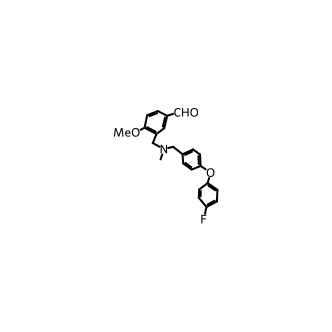 COc1ccc(C=O)cc1CN(C)Cc1ccc(Oc2ccc(F)cc2)cc1